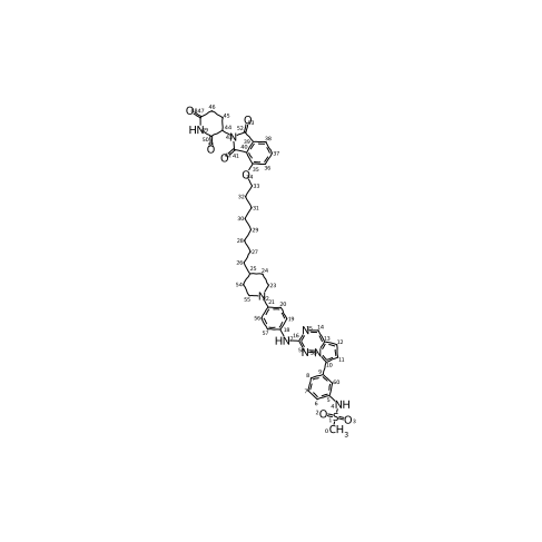 CS(=O)(=O)Nc1cccc(-c2ccc3cnc(Nc4ccc(N5CCC(CCCCCCCCOc6cccc7c6C(=O)N(C6CCC(=O)NC6=O)C7=O)CC5)cc4)nn23)c1